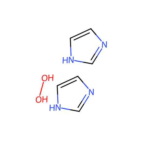 OO.c1c[nH]cn1.c1c[nH]cn1